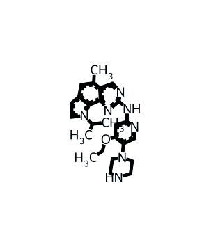 CCOc1cc(Nc2ncc3c(C)cc4ccn(C(C)C)c4c3n2)ncc1N1CCNCC1